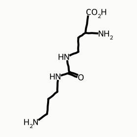 NCCCNC(=O)NCCC(N)C(=O)O